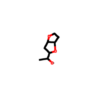 CC([O])C1CC2OCCC2O1